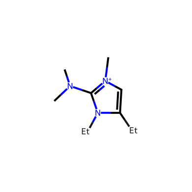 CCc1c[n+](C)c(N(C)C)n1CC